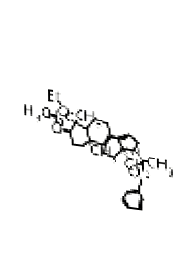 CCOC(C)OC1CC[C@]2(C)C3=C(CCC2C1(C)C)C1=CC[C@H](C(C)OCc2ccccc2)[C@@]1(C)CC3